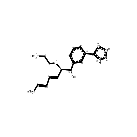 CCCCCCCCCC=CC=C[C@@H](SCCC(=O)O)[C@@H](O)c1cccc(-c2nnn[nH]2)c1